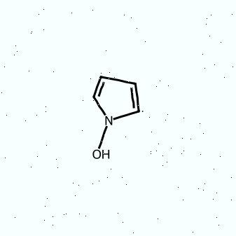 On1[c]ccc1